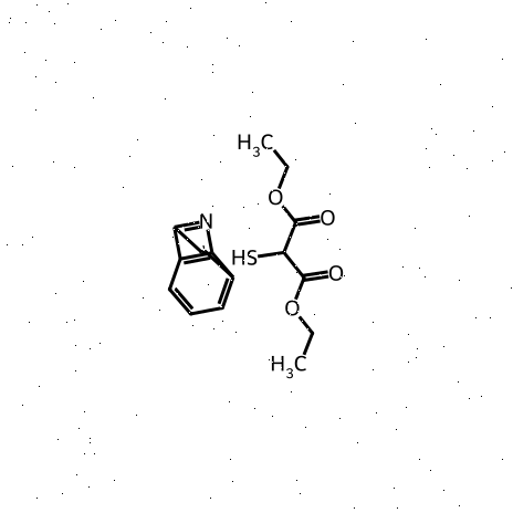 CCOC(=O)C(S)C(=O)OCC.c1cc2c3nc-2ccc3c1